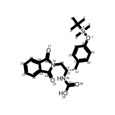 CC(C)(C)[Si](C)(C)Oc1ccc(C[C@@H](CN2C(=O)c3ccccc3C2=O)NC(=O)O)cc1